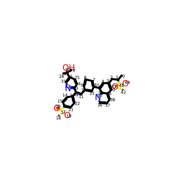 CC(Cc1cc(-c2cccc(/C=C(/c3ccc(S(C)(=O)=O)cc3)c3ccc(C(C)(C)O)cn3)c2)c2ncccc2c1)S(C)(=O)=O